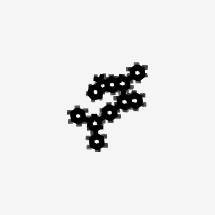 CC1(C)c2ccccc2-c2cc3c(-c4cc(-c5ccc(-c6nc(-c7ccccc7)nc(-c7ccccc7)n6)cc5)cc5ccccc45)cc(-c4ccccc4)nc3cc21